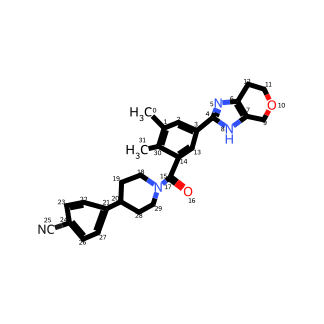 Cc1cc(-c2nc3c([nH]2)COCC3)cc(C(=O)N2CCC(c3ccc(C#N)cc3)CC2)c1C